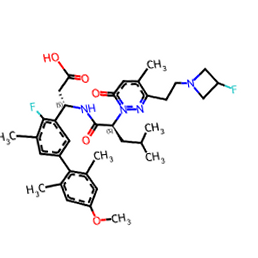 COc1cc(C)c(-c2cc(C)c(F)c([C@H](CC(=O)O)NC(=O)[C@H](CC(C)C)n3nc(CCN4CC(F)C4)c(C)cc3=O)c2)c(C)c1